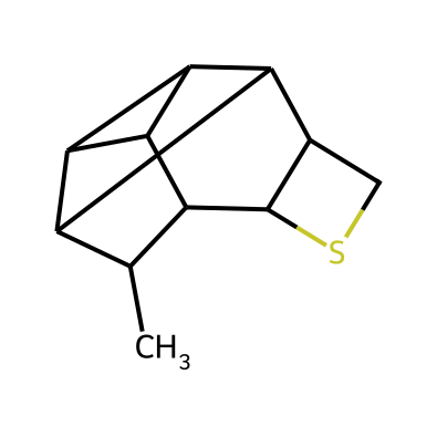 CC1C2C3SCC3C3C1C1C2C31